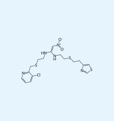 O=[N+]([O-])C=C(NCCSCCc1cscn1)NCCSCc1ncccc1Cl